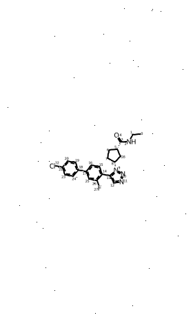 CCNC(=O)[C@H]1CC[C@@H](n2nncc2-c2ccc(-c3ccc(Cl)cc3)cc2F)C1